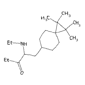 CCNC(CC1CCC2(CC1)C(C)(C)C2(C)C)C(=O)CC